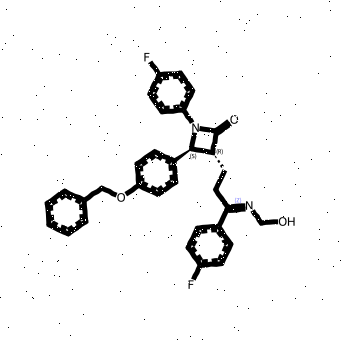 O=C1[C@H](CC/C(=N/CO)c2ccc(F)cc2)[C@@H](c2ccc(OCc3ccccc3)cc2)N1c1ccc(F)cc1